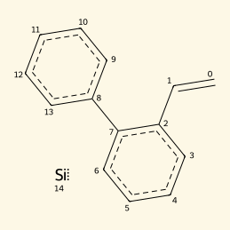 C=Cc1ccccc1-c1ccccc1.[Si]